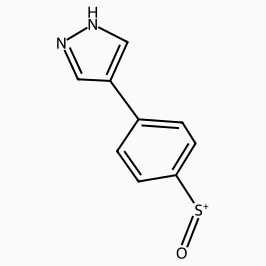 O=[S+]c1ccc(-c2cn[nH]c2)cc1